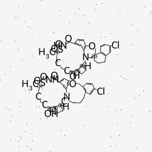 C[C@@H]1CCCC[C@@H](Oc2cc3cc4c2OCc2ccc(Cl)cc2CCCCN4C[C@@H]2CC[C@H]2[C@H](O)CCCC[C@H](C)S(=O)(=O)NC3=O)[C@@H]2CC[C@H]2CN2C[C@@]3(CCCc4cc(Cl)ccc43)COc3ccc(cc32)C(=O)NS1(=O)=O